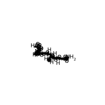 C/C=C/[C@@]1(O)C(=O)OCc2c1cc1n(c2=O)Cc2c-1nc1cc(F)c(C)c3c1c2[C@@H](NC(=O)COCNC(=O)CNC1OC1[C@H](Cc1ccccc1)NC(=O)CNC(=O)CNC(=O)CCCCCN1C(=O)CC(N)C1=O)CC3